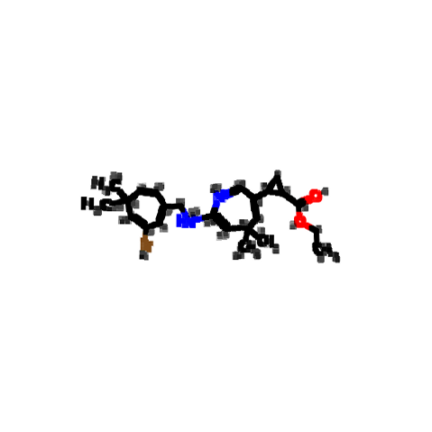 CCOC(=O)C1CC1C1=CC(C)(C)C=C(NCC2=CC(Br)=CC(C)(C)C=C2)N=C1